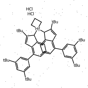 CC(C)(C)C1=Cc2c(-c3cc(C(C)(C)C)cc(C(C)(C)C)c3)cccc2[CH]1[Hf]1([CH]2C(C(C)(C)C)=Cc3c(-c4cc(C(C)(C)C)cc(C(C)(C)C)c4)cccc32)[CH2]C[CH2]1.Cl.Cl